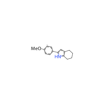 COc1[c]cc(-c2cc3c([nH]2)CCCC3)cc1